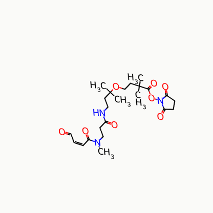 CN(CCC(=O)NCCC(C)(C)OCCC(C)(C)C(=O)ON1C(=O)CCC1=O)C(=O)/C=C\C=O